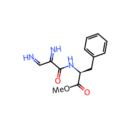 COC(=O)[C@H](Cc1ccccc1)NC(=O)C(=N)C=N